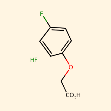 F.O=C(O)COc1ccc(F)cc1